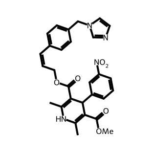 COC(=O)C1=C(C)NC(C)=C(C(=O)OC/C=C\c2ccc(Cn3ccnc3)cc2)C1c1cccc([N+](=O)[O-])c1